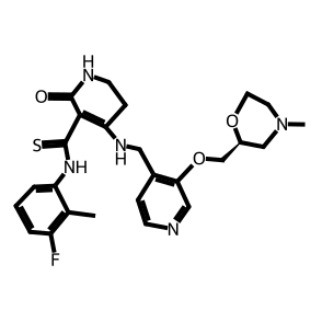 Cc1c(F)cccc1NC(=S)C1=C(NCc2ccncc2OC[C@@H]2CN(C)CCO2)CCNC1=O